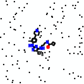 Cc1cc(C2CCN(C)CC2)ccc1Nc1ncc(C(F)(F)F)c(NCCCN(C)C(=O)C2CCC2)n1